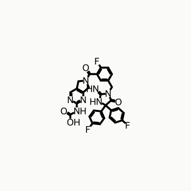 N=C1NC(c2ccc(F)cc2)(c2ccc(F)cc2)C(=O)N1Cc1ccc(F)c(C(=O)N2Cc3cnc(NC(=O)O)nc3C2)c1